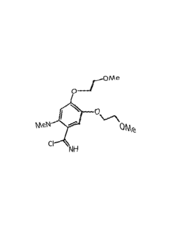 CNc1cc(OCCOC)c(OCCOC)cc1C(=N)Cl